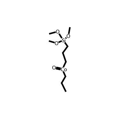 CC[CH2][Co](=[O])[CH2]CC[Si](OC)(OC)OC